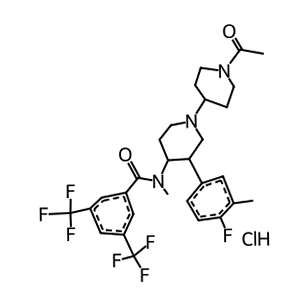 CC(=O)N1CCC(N2CCC(N(C)C(=O)c3cc(C(F)(F)F)cc(C(F)(F)F)c3)C(c3ccc(F)c(C)c3)C2)CC1.Cl